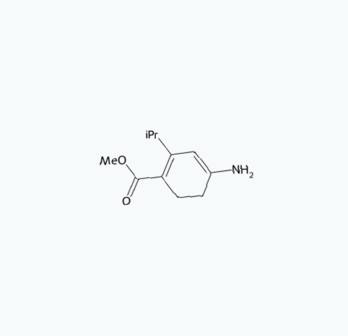 COC(=O)C1=C(C(C)C)C=C(N)CC1